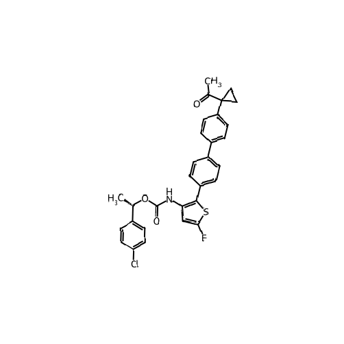 CC(=O)C1(c2ccc(-c3ccc(-c4sc(F)cc4NC(=O)O[C@H](C)c4ccc(Cl)cc4)cc3)cc2)CC1